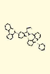 C=Cc1c(/C=C\C)c2cc(-c3nc4ccccc4c4ccccc34)ccc2n1-c1cccc2c1c1ccccc1n2-c1ccccc1